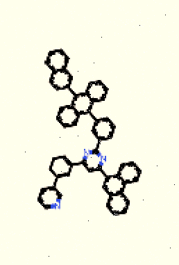 C1=C(c2cccnc2)CCC=C1c1cc(-c2cc3ccccc3c3ccccc23)nc(-c2cccc(-c3c4ccccc4c(-c4ccc5ccccc5c4)c4ccccc34)c2)n1